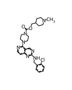 CN1CCC(COC(=O)N2CCN(c3nccc4nc(NCc5ccccc5Cl)ncc34)CC2)CC1